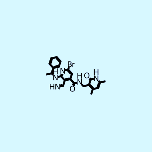 Cc1cc(C)c(CNC(=O)c2cc(Br)nc(NC(C)c3ccccc3)c2C=N)c(=O)[nH]1